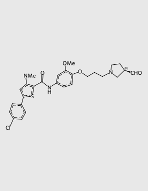 CNc1cc(-c2ccc(Cl)cc2)sc1C(=O)Nc1ccc(OCCCN2CC[C@@H](C=O)C2)c(OC)c1